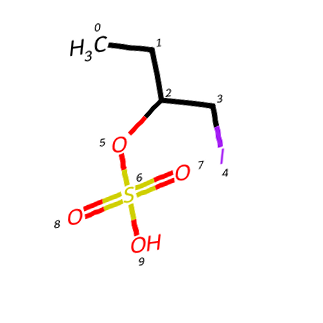 CCC(CI)OS(=O)(=O)O